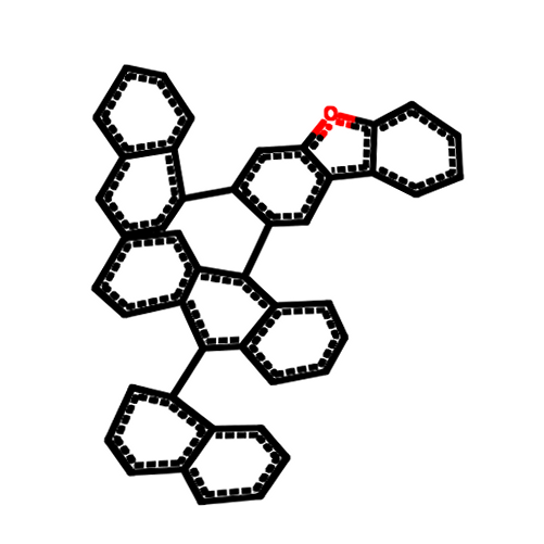 c1ccc2c(-c3cc4oc5ccccc5c4cc3-c3c4ccccc4c(-c4cccc5ccccc45)c4ccccc34)cccc2c1